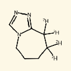 [2H]C1([2H])CCCn2cnnc2C1([2H])[2H]